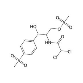 CS(=O)(=O)OCC(NC(=O)C(Cl)Cl)C(O)c1ccc(S(C)(=O)=O)cc1